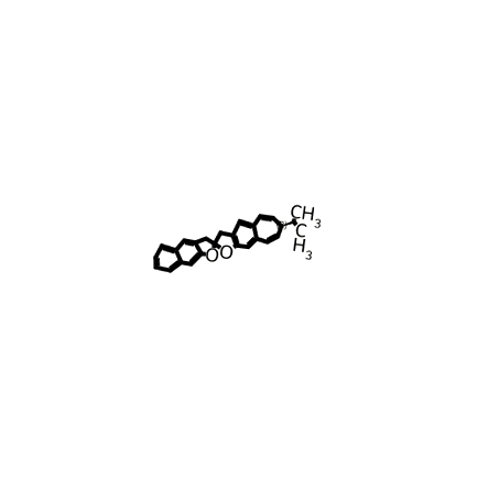 CC(C)[C@@H]1C=Cc2cc3c(cc2C=C1)OC1(C3)Cc2cc3ccccc3cc2O1